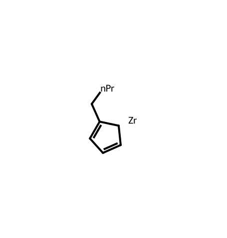 CCCCC1=CC=CC1.[Zr]